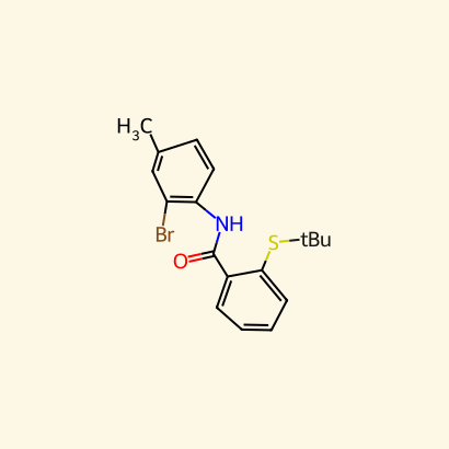 Cc1ccc(NC(=O)c2ccccc2SC(C)(C)C)c(Br)c1